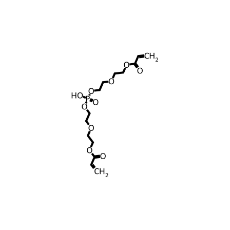 C=CC(=O)OCCOCCOP(=O)(O)OCCOCCOC(=O)C=C